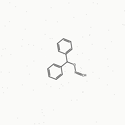 [CH]=NOC(c1ccccc1)c1ccccc1